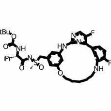 CC(C)[C@H](NC(=O)OC(C)(C)C)C(=O)N=[S@](C)(=O)Cc1cc2cc(c1)OCCCCCNc1cc(ccc1F)-c1nc(ncc1F)N2